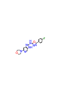 Fc1ccc(-c2nnc(Nc3nc4cc(N5CCOCC5)ncc4[nH]3)o2)cc1